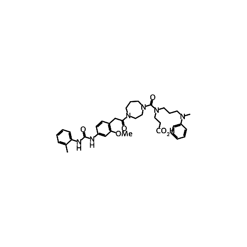 COc1cc(NC(=O)Nc2ccccc2C)ccc1CC(=O)N1CCCN(C(=O)N(CCCN(C)c2ccccc2)CCC(=O)O)CC1